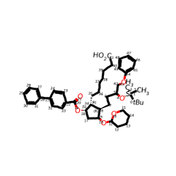 CC(C)(C)[Si](C)(C)OC(CC[C@H]1C(OC2CCCCO2)C[C@H](OC(=O)c2ccc(-c3ccccc3)cc2)[C@@H]1CCCCCCC(=O)O)COc1ccccc1